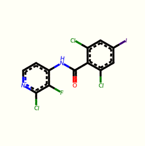 O=C(Nc1ccnc(Cl)c1F)c1c(Cl)cc(I)cc1Cl